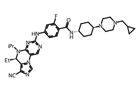 CC[C@@H]1c2c(C#N)ncn2-c2cnc(Nc3ccc(C(=O)N[C@H]4CC[C@H](N5CCN(CC6CC6)CC5)CC4)c(F)c3)nc2N1C(C)C